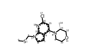 CSCn1ccc2c(N3CCOC[C@H]3C)cc(Cl)nc21